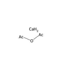 CC(=O)OC(C)=O.[CaH2]